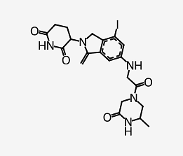 C=C1c2cc(NCC(=O)N3CC(=O)NC(C)C3)cc(I)c2CN1C1CCC(=O)NC1=O